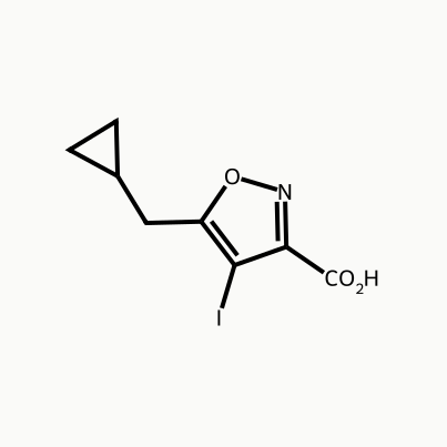 O=C(O)c1noc(CC2CC2)c1I